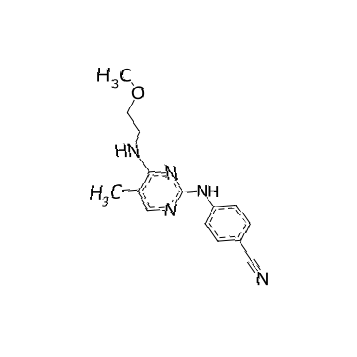 COCCNc1nc(Nc2ccc(C#N)cc2)ncc1C